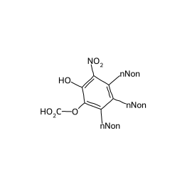 CCCCCCCCCc1c(CCCCCCCCC)c(OC(=O)O)c(O)c([N+](=O)[O-])c1CCCCCCCCC